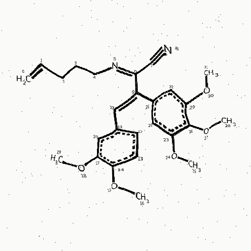 C=CCCC/N=C(C#N)\C(=C\c1ccc(OC)c(OC)c1)c1cc(OC)c(OC)c(OC)c1